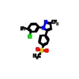 CC(C)c1ccc(-n2nc(C(F)(F)F)cc2-c2ccc(S(C)(=O)=O)cc2)cc1Cl